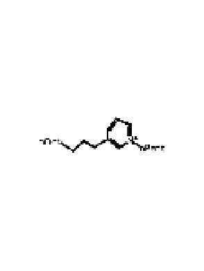 CCCCCCCCCCCc1ccc[n+](CCCCC)c1